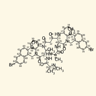 CN[C@@H](C)C(=O)N[C@H]1CN(C(=O)CC(=O)C2Nc3ccccc3N(Cc3c(OC)ccc4cc(Br)ccc34)C(=O)[C@H]2NC(=O)[C@H](C)NC)c2ccccc2N(Cc2c(OC)ccc3cc(Br)ccc23)C1=O